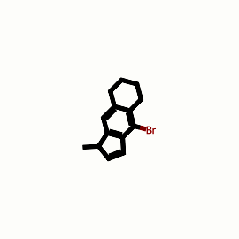 CC1C=Cc2c1cc1c(c2Br)CCCC1